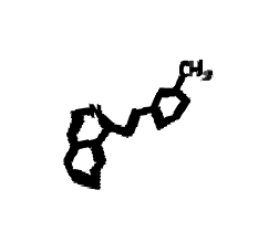 Cc1cccc(/C=C/c2nccc3ccccc23)c1